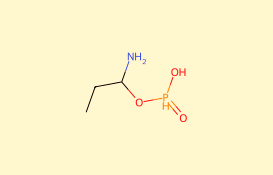 CCC(N)O[PH](=O)O